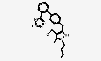 CCCCN1NC(Cc2ccc(-c3ccccc3-c3nn[nH]n3)cc2)=C(CO)C1C